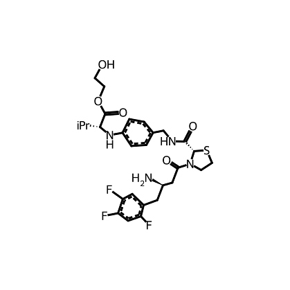 CC(C)[C@@H](Nc1ccc(CNC(=O)[C@@H]2SCCN2C(=O)C[C@H](N)Cc2cc(F)c(F)cc2F)cc1)C(=O)OCCO